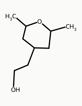 CC1CC(CCO)CC(C)O1